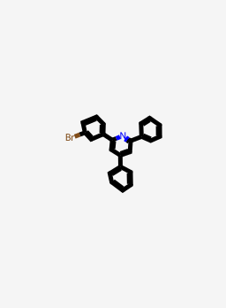 Brc1cccc(-c2cc(-c3ccccc3)cc(-c3ccccc3)n2)c1